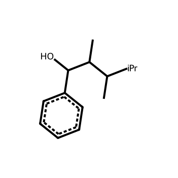 CC(C)C(C)C(C)C(O)c1ccccc1